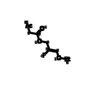 CCOC=C(F)COC(=O)CC(C)=O